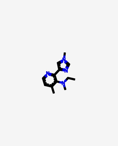 CCN(C)c1c(C)ccnc1-c1cn(C)cn1